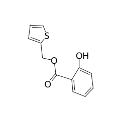 O=C(OCc1cccs1)c1ccccc1O